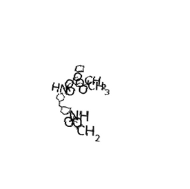 [CH2]COC(=O)NC1CCC(CC2CCC(NC(=O)OC(COC(=O)C(=C)C)COc3ccccc3)CC2)CC1